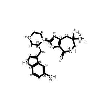 CC1(C)CNC(=O)c2sc(N3CCOC[C@@H]3Cc3c[nH]c4ccc(O)cc34)nc2C1